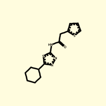 O=C(Cc1cccs1)Nc1nnc(C2CCCCC2)s1